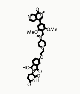 COc1cc(-c2cn(C)c(=O)c3cnccc23)cc(OC)c1CN(C)C1CCN(CCOc2ccc3c(c2)C(=O)N(C2CCC(=O)NC2=O)C3O)CC1